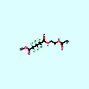 CC(C)OC(=O)C(F)(F)C(F)(F)C(F)(F)C(=O)OCCOC(=O)C(C)(C)C